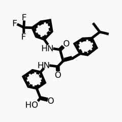 CC(C)c1ccc(/C=C(/C(=O)Nc2cccc(C(=O)O)c2)C(=O)Nc2cccc(C(F)(F)F)c2)cc1